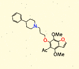 COc1c(C(C)=O)c(OCCCN2CCC(c3ccccc3)CC2)c(OC)c2occc12